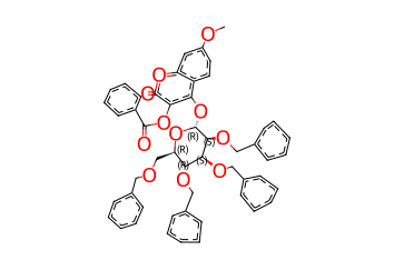 COc1ccc2c(O[C@H]3O[C@H](COCc4ccccc4)[C@@H](OCc4ccccc4)[C@H](OCc4ccccc4)[C@@H]3OCc3ccccc3)c(OC(=O)c3ccccc3)c(=O)oc2c1